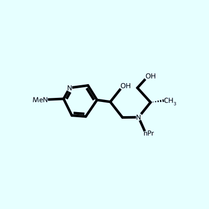 CCCN(CC(O)c1ccc(NC)nc1)[C@@H](C)CO